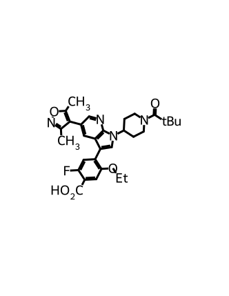 CCOc1cc(C(=O)O)c(F)cc1-c1cn(C2CCN(C(=O)C(C)(C)C)CC2)c2ncc(-c3c(C)noc3C)cc12